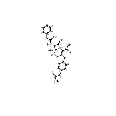 CC(=O)Oc1ccc(CC2=C(C(=O)O)N3C(=O)[C@@H](NC(=O)Cc4ccccc4)[C@H]3SC2)cc1